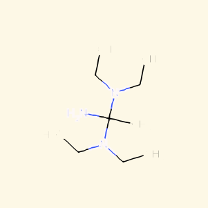 CCN(CC)C(C)(N)N(CC)CC